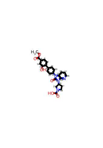 COC(=O)c1ccc(-c2ccc(-n3c(=O)n(C4CCN(C(=O)O)C4)c4ncccc43)cc2)c(O)c1